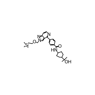 CC(C)(O)C1CCC(NC(=O)c2ccc(-c3nccc4nn(COCC[Si](C)(C)C)cc34)cc2)CC1